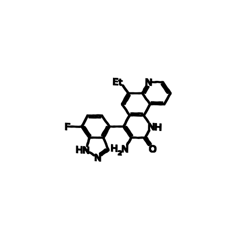 CCc1cc2c(-c3ccc(F)c4[nH]ncc34)c(N)c(=O)[nH]c2c2cccnc12